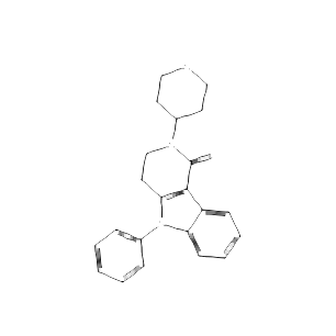 O=C1c2c(n(-c3ccccc3)c3ccccc23)CCN1C1CCNCC1